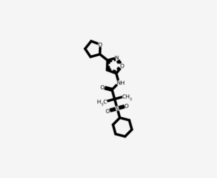 CC(C)(C(=O)Nc1cc(C2CCCO2)no1)S(=O)(=O)C1CCCCC1